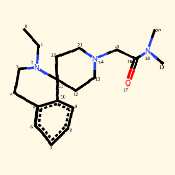 CCN1CCc2ccccc2C12CCN(CC(=O)N(C)C)CC2